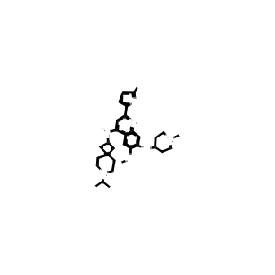 COc1cc2c(N(C)C3CC4(CCN(C(C)C)CC4)C3)cc(-c3ccc(C)o3)nc2cc1OC1CCN(C)CC1